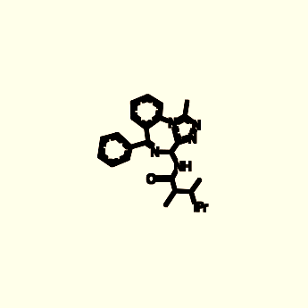 Cc1nnc2n1-c1ccccc1C(c1ccccc1)=NC2NC(=O)C(C)C(C)C(C)C